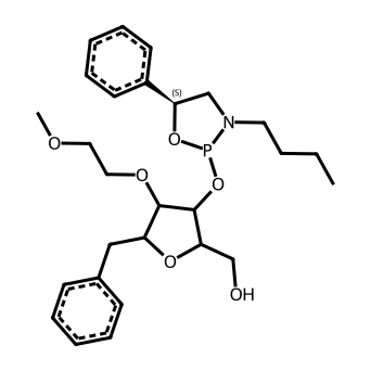 CCCCN1C[C@H](c2ccccc2)OP1OC1C(CO)OC(Cc2ccccc2)C1OCCOC